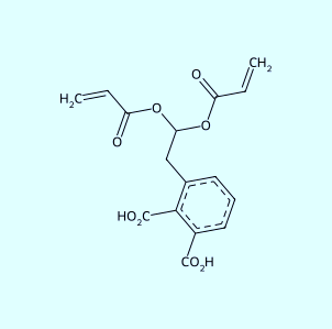 C=CC(=O)OC(Cc1cccc(C(=O)O)c1C(=O)O)OC(=O)C=C